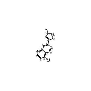 Cn1cc(-c2cc3nccc(Cl)c3cn2)cn1